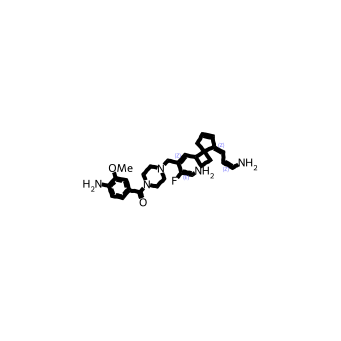 COc1cc(C(=O)N2CCN(CC(=C/C3CCC34CC=C/C4=C/C=C\N)/C(F)=C\N)CC2)ccc1N